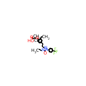 C=Cc1cc(CCc2nn(-c3ccc(C(F)(F)F)cc3)c(=O)n2CCC)ccc1OC(C)(C)C(=O)O